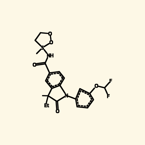 CCC1(C)C(=O)N(c2cccc(OC(F)F)c2)c2ccc(C(=O)NS3(C)CCOO3)cc21